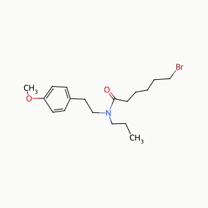 CCCN(CCc1ccc(OC)cc1)C(=O)CCCCCBr